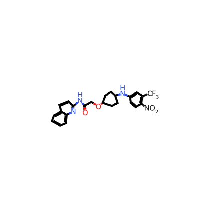 O=C(COC1CCC(Nc2ccc([N+](=O)[O-])c(C(F)(F)F)c2)CC1)Nc1ccc2ccccc2n1